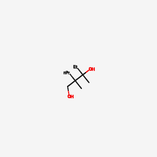 CCCC(C)(CO)C(C)(O)CC